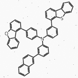 c1cc(-c2ccc3ccccc3c2)cc(N(c2ccc(-c3cccc4oc5ccccc5c34)cc2)c2cccc(-c3cccc4c3sc3ccccc34)c2)c1